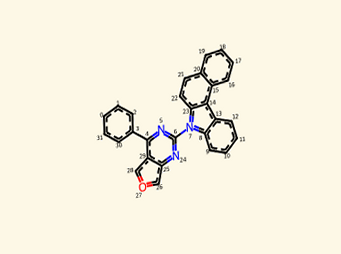 c1ccc(-c2nc(-n3c4ccccc4c4c5ccccc5ccc43)nc3cocc23)cc1